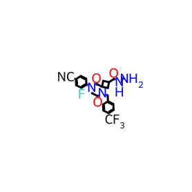 N#Cc1ccc(N2CC(=O)N(Cc3ccc(C(F)(F)F)cc3)C3(CC(C(=O)NN)C3)C2=O)c(F)c1